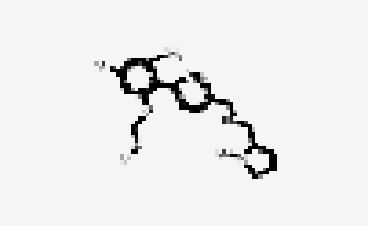 CCOCOc1cc(C(F)(F)F)cc(C)c1-c1ccc(CNCC2CCCN2C)nn1